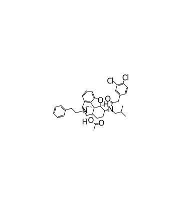 CC(=O)O[C@@]12CC[C@H](N(CC(C)C)C(=O)Cc3ccc(Cl)c(Cl)c3)[C@@H]3Oc4cccc5c4[C@@]31CCN(CCc1ccccc1)[C@@H]2C5